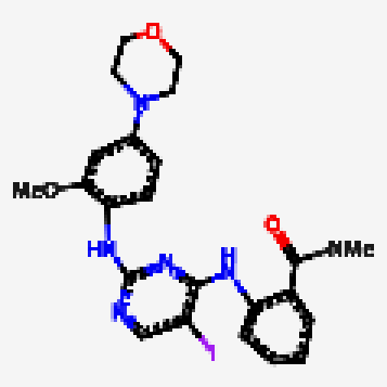 CNC(=O)c1ccccc1Nc1nc(Nc2ccc(N3CCOCC3)cc2OC)ncc1I